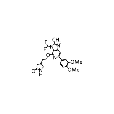 COc1ccc(-c2cc3nc(C)n(C(F)F)c3c(OCC[C@H]3CNC(=O)C3)n2)cc1OC